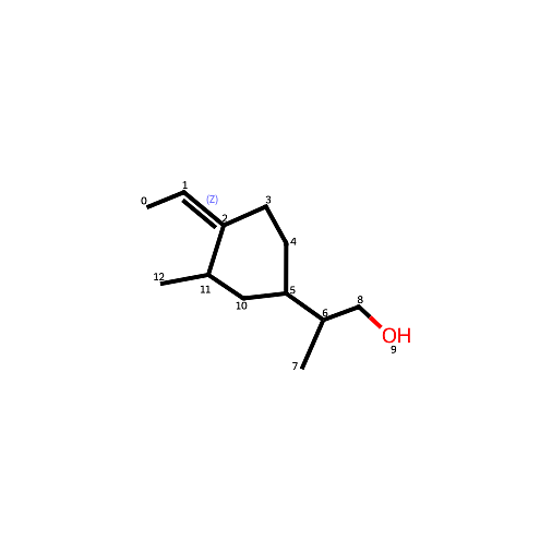 C/C=C1/CCC(C(C)CO)CC1C